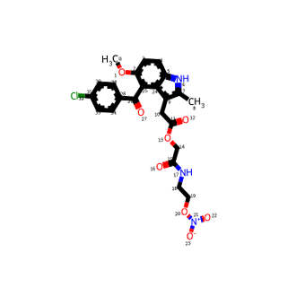 COc1ccc2[nH]c(C)c(CC(=O)OCC(=O)NCCO[N+](=O)[O-])c2c1C(=O)c1ccc(Cl)cc1